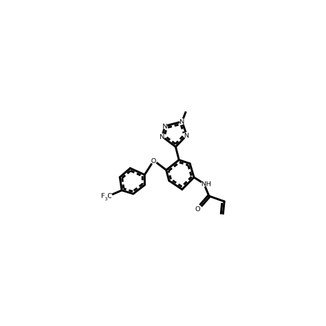 C=CC(=O)Nc1ccc(Oc2ccc(C(F)(F)F)cc2)c(-c2nnn(C)n2)c1